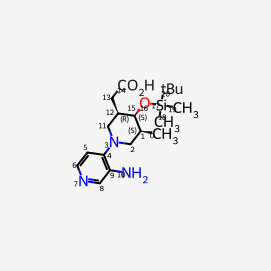 C[C@H]1CN(c2ccncc2N)C[C@@H](CC(=O)O)[C@H]1O[Si](C)(C)C(C)(C)C